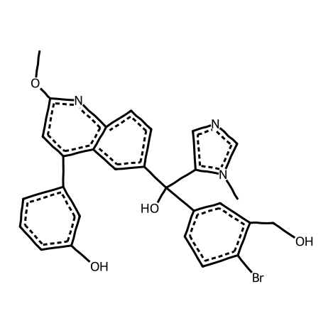 COc1cc(-c2cccc(O)c2)c2cc(C(O)(c3ccc(Br)c(CO)c3)c3cncn3C)ccc2n1